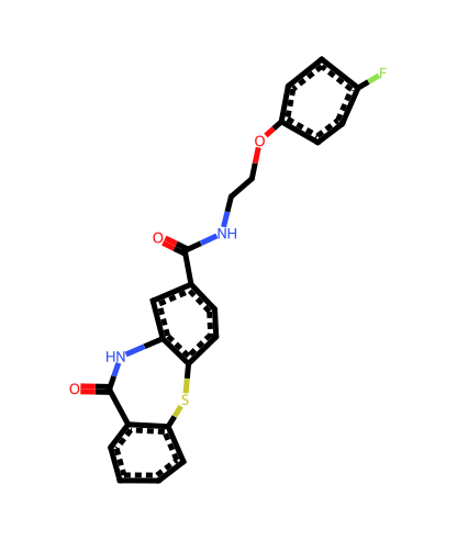 O=C(NCCOc1ccc(F)cc1)c1ccc2c(c1)NC(=O)c1ccccc1S2